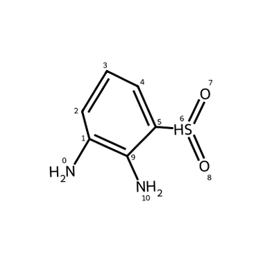 Nc1cccc([SH](=O)=O)c1N